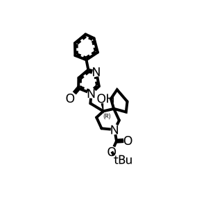 CC(C)(C)OC(=O)N1CC[C@](O)(Cn2cnc(-c3ccccc3)cc2=O)C2(CCCC2)C1